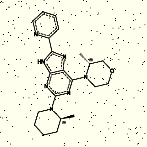 C[C@@H]1COCCN1c1nc(N2CCCC[C@@H]2C)nc2[nH]c(-c3ccccn3)nc12